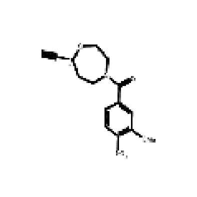 C#C[C@@H]1CCN(C(=O)c2ccc([N+](=O)[O-])c(OC)c2)CCO1